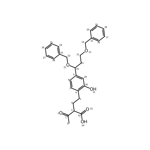 CC(=O)C(CCc1ccc(C(CCOCc2ccccc2)OCc2ccccc2)cc1O)C(=O)O